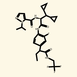 CCC(C(=O)NCC(F)(F)F)c1ccc(NC(=O)[C@@H](NC(=O)c2ccnn2C(C)C)C(C2CC2)C2CC2)c(F)c1